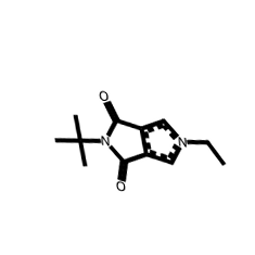 CCn1cc2c(c1)C(=O)N(C(C)(C)C)C2=O